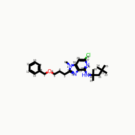 Cn1c(CCCOCc2ccccc2)nc2c(NC(C)(C)CC(C)(C)C)nc(Cl)cc21